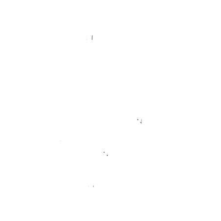 COc1ccc2c(c1)C(N1CCCN(C(=O)C3CC3)CC1)CC2